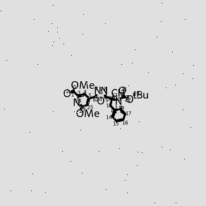 COC(=O)c1cc(-c2nnc([C@](C)(Cc3ccccc3)NC(=O)OC(C)(C)C)o2)cc(OC)n1